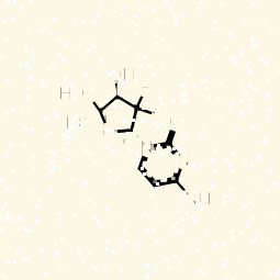 CC[C@@]1(C)O[C@@H](n2ccc(N)nc2=O)C(F)(F)[C@@H]1O